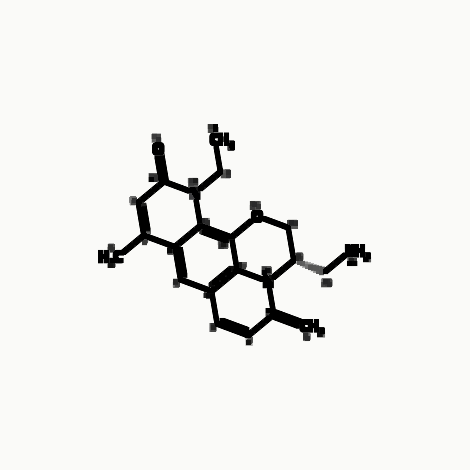 C=C1C=Cc2cc3c(C)cc(=O)n(CC)c3c3c2N1[C@@H](CN)CO3